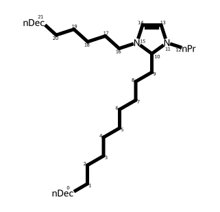 CCCCCCCCCCCCCCCCCCCC1N(CCC)C=CN1CCCCCCCCCCCCCCC